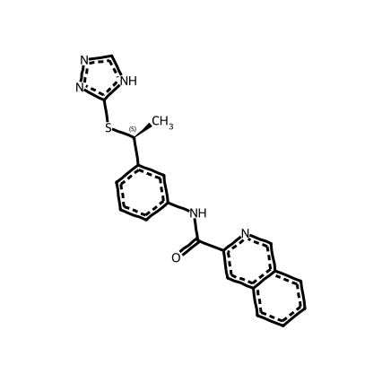 C[C@H](Sc1nnc[nH]1)c1cccc(NC(=O)c2cc3ccccc3cn2)c1